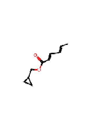 C/C=C/C=C/C(=O)OCC1CC1